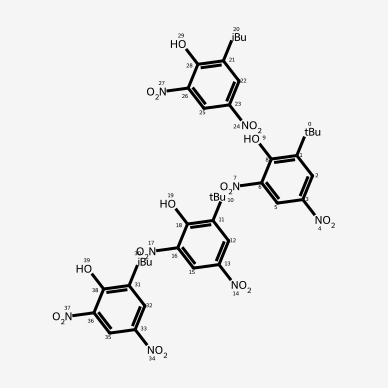 CC(C)(C)c1cc([N+](=O)[O-])cc([N+](=O)[O-])c1O.CC(C)(C)c1cc([N+](=O)[O-])cc([N+](=O)[O-])c1O.CCC(C)c1cc([N+](=O)[O-])cc([N+](=O)[O-])c1O.CCC(C)c1cc([N+](=O)[O-])cc([N+](=O)[O-])c1O